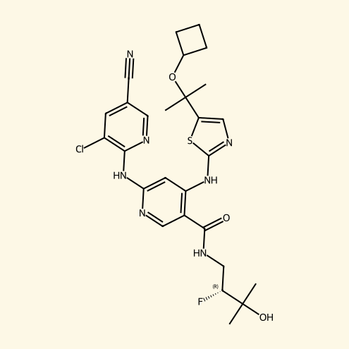 CC(C)(OC1CCC1)c1cnc(Nc2cc(Nc3ncc(C#N)cc3Cl)ncc2C(=O)NC[C@@H](F)C(C)(C)O)s1